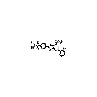 CCc1ccccc1N/C=C1/C(=O)N(c2ccc(S(=O)(=O)N(CC)CC)cc2)N=C1CC(=O)O